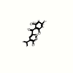 CC(C)c1cc(C(=O)c2c(Cl)cc(I)cc2Cl)nnc1Cl